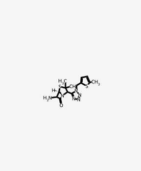 Cc1ccc(Cn2nnnc2C2N3C(=O)C(N)[C@H]3SC2(C)C)s1